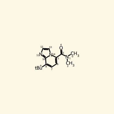 CN(C)C(=O)c1ccc(C(C)(C)C)c2nccn12